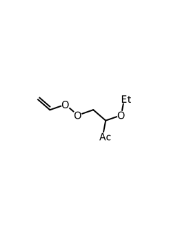 C=COOCC(OCC)C(C)=O